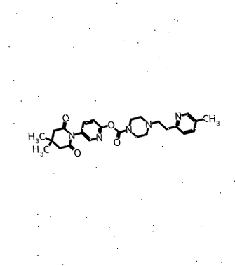 Cc1ccc(CCN2CCN(C(=O)Oc3ccc(N4C(=O)CC(C)(C)CC4=O)cn3)CC2)nc1